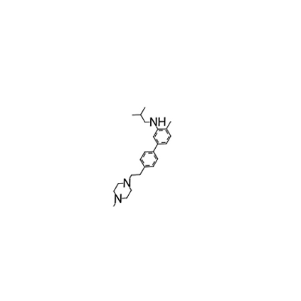 Cc1ccc(-c2ccc(CCN3CCN(C)CC3)cc2)cc1NCC(C)C